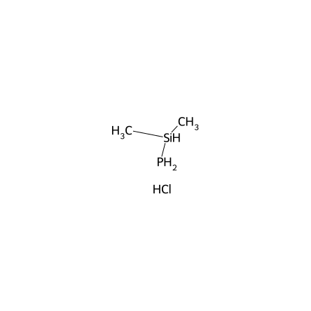 C[SiH](C)P.Cl